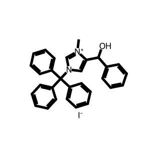 C[n+]1cn(C(c2ccccc2)(c2ccccc2)c2ccccc2)cc1C(O)c1ccccc1.[I-]